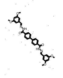 COc1cc(/C=N/NC(=O)c2ccc(-c3ccc(C(=O)N/N=C/c4cc(OC)cc(OC)c4)cc3)cc2)cc(OC)c1